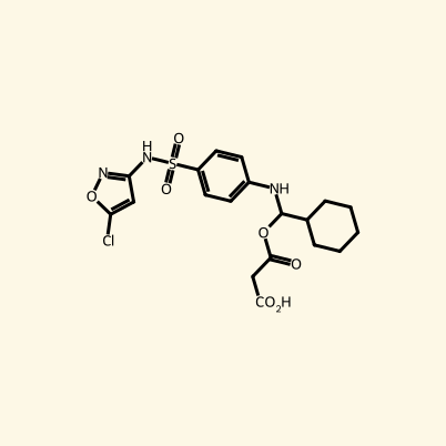 O=C(O)CC(=O)OC(Nc1ccc(S(=O)(=O)Nc2cc(Cl)on2)cc1)C1CCCCC1